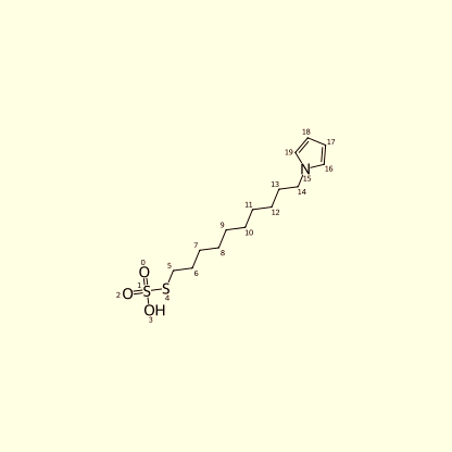 O=S(=O)(O)SCCCCCCCCCCn1cccc1